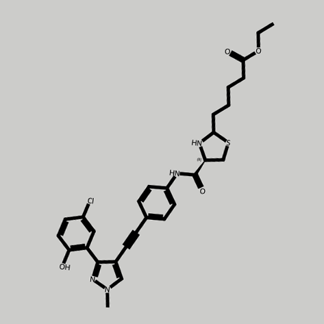 CCOC(=O)CCCCC1N[C@H](C(=O)Nc2ccc(C#Cc3cn(C)nc3-c3cc(Cl)ccc3O)cc2)CS1